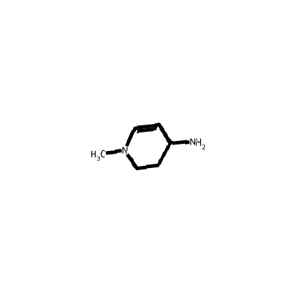 CN1C=CC(N)CC1